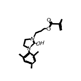 C=C(C)C(=O)OCCCN1CCN(c2c(C)cc(C)cc2C)[C@H]1O